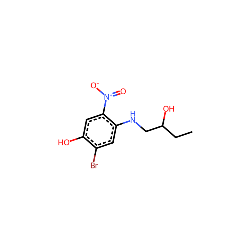 CCC(O)CNc1cc(Br)c(O)cc1[N+](=O)[O-]